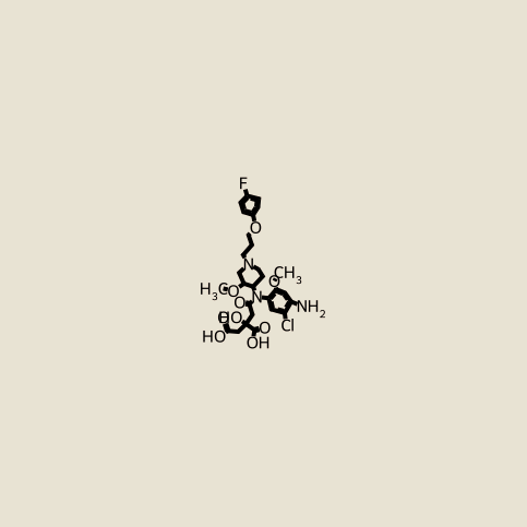 COc1cc(N)c(Cl)cc1N(C(=O)CC(O)(CC(=O)O)C(=O)O)C1CCN(CCCOc2ccc(F)cc2)CC1OC